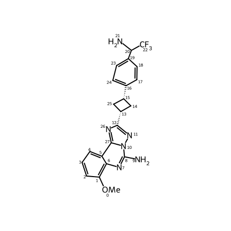 COc1cccc2c1nc(N)n1nc([C@H]3C[C@@H](c4ccc(C(N)C(F)(F)F)cc4)C3)nc21